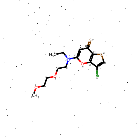 CCN(CCOCCOC)c1cc(=S)c2scc(Br)c2o1